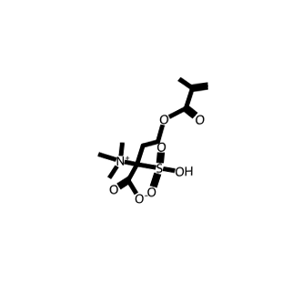 C=C(C)C(=O)OCCC(C(=O)[O-])([N+](C)(C)C)S(=O)(=O)O